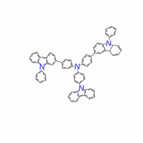 C1=CC2c3cc(-c4ccc(N(c5ccc(-c6ccc7c8ccccc8n(-c8ccccc8)c7c6)cc5)c5ccc(-n6c7ccccc7c7ccccc76)cc5)cc4)ccc3N(c3ccccc3)C2C=C1